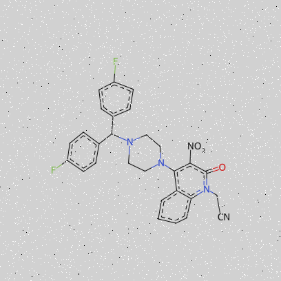 N#CCn1c(=O)c([N+](=O)[O-])c(N2CCN(C(c3ccc(F)cc3)c3ccc(F)cc3)CC2)c2ccccc21